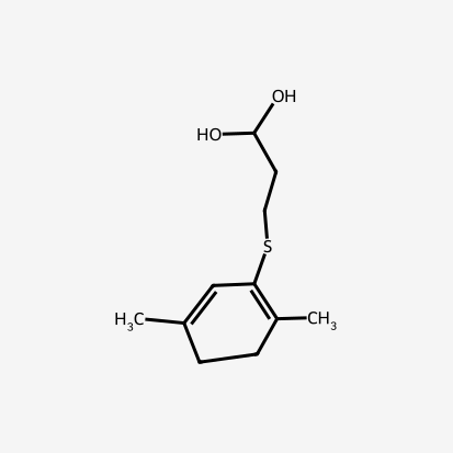 CC1=CC(SCCC(O)O)=C(C)CC1